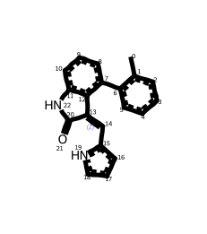 Cc1ccccc1-c1cccc2c1/C(=C/c1ccc[nH]1)C(=O)N2